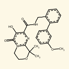 COc1cccc(-c2ccccc2CNC(=O)c2nc3n(c(=O)c2O)CCOC3(C)C)c1